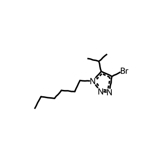 CCCCCCn1nnc(Br)c1C(C)C